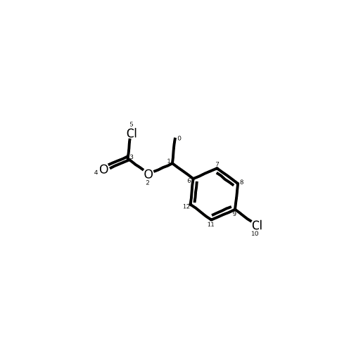 CC(OC(=O)Cl)c1ccc(Cl)cc1